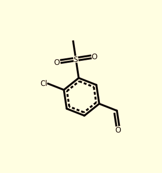 CS(=O)(=O)c1cc(C=O)ccc1Cl